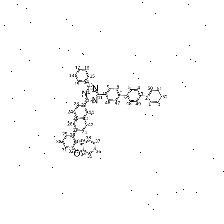 C1=CC(c2ccc(-c3ccc(-c4nc(-c5ccccc5)nc(-c5ccc6cc(-c7cccc8oc9ccccc9c78)ccc6c5)n4)cc3)cc2)=CCC1